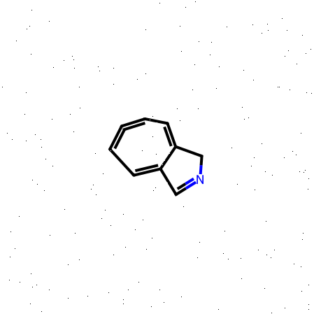 C1=CC=C2C=NCC2=CC=1